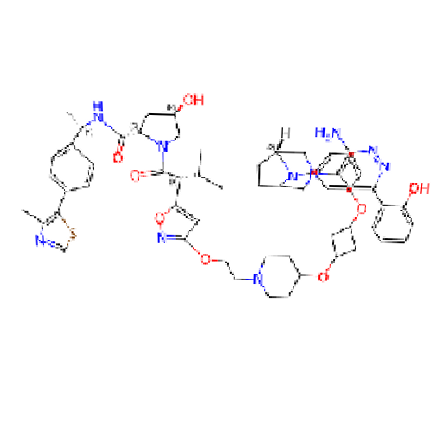 Cc1ncsc1-c1ccc([C@H](C)NC(=O)[C@@H]2C[C@@H](O)CN2C(=O)[C@@H](c2cc(OCCN3CCC(OC4CC(Oc5cccc(N6C7CC[C@@H]6CN(c6cc(-c8ccccc8O)nnc6N)C7)c5)C4)CC3)no2)C(C)C)cc1